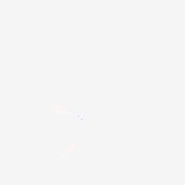 CCCCC(CC)c1cc(C)cc(=O)n1O